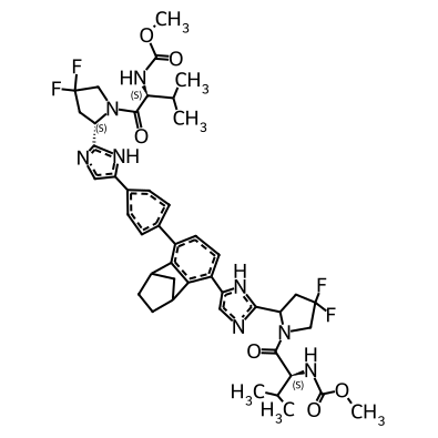 COC(=O)N[C@H](C(=O)N1CC(F)(F)CC1c1ncc(-c2ccc(-c3ccc(-c4cnc([C@@H]5CC(F)(F)CN5C(=O)[C@@H](NC(=O)OC)C(C)C)[nH]4)cc3)c3c2C2CCC3C2)[nH]1)C(C)C